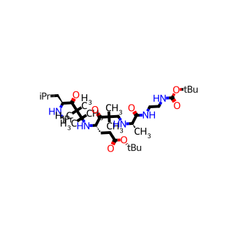 CC(C)C[C@H](NC(C)C)C(=O)C(C)(C)C(C)(C)N[C@@H](CCC(=O)OC(C)(C)C)C(=O)C(C)(C)CN[C@@H](C)C(=O)NCCNC(=O)OC(C)(C)C